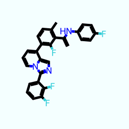 C=C(Nc1ccc(F)cc1)c1c(C)ccc(-c2cccn3c(-c4cccc(F)c4F)ncc23)c1F